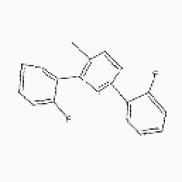 Cc1ccc(-c2ccccc2F)[c]c1-c1ccccc1F